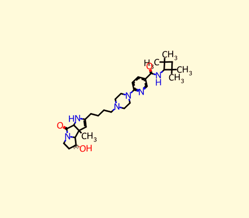 CC1(C)CC(C)(C)C1NC(=O)c1ccc(N2CCN(CCCCC3=CC4(C)C(N3)C(=O)N3CC[C@@H](O)C34)CC2)nc1